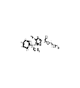 CCOC(=O)c1cc(F)n([C@H](C)c2ccccc2)n1